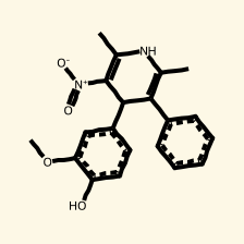 COc1cc(C2C(c3ccccc3)=C(C)NC(C)=C2[N+](=O)[O-])ccc1O